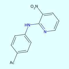 CC(=O)c1ccc(Nc2ncccc2[N+](=O)[O-])cc1